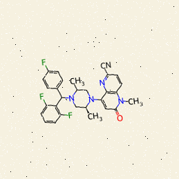 CC1CN(c2cc(=O)n(C)c3ccc(C#N)nc23)[C@@H](C)CN1C(c1ccc(F)cc1)c1c(F)cccc1F